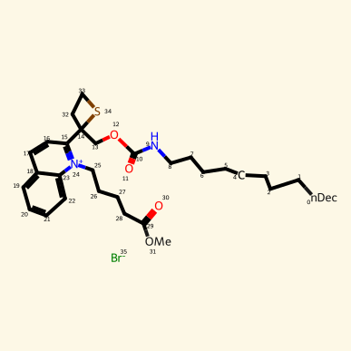 CCCCCCCCCCCCCCCCCCNC(=O)OCC1(c2ccc3ccccc3[n+]2CCCCC(=O)OC)CCS1.[Br-]